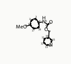 COc1ccc(NC(=O)OCc2cccnc2)cc1